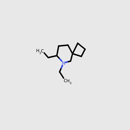 CCC1CCC2(CCC2)CN1CC